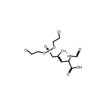 C/C(=C\C(NC=O)C(=O)O)CP(=O)(OCCCl)OCCCl